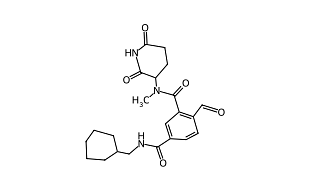 CN(C(=O)c1cc(C(=O)NCC2CCCCC2)ccc1C=O)C1CCC(=O)NC1=O